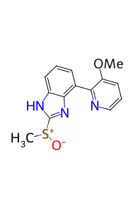 COc1cccnc1-c1cccc2[nH]c([S+](C)[O-])nc12